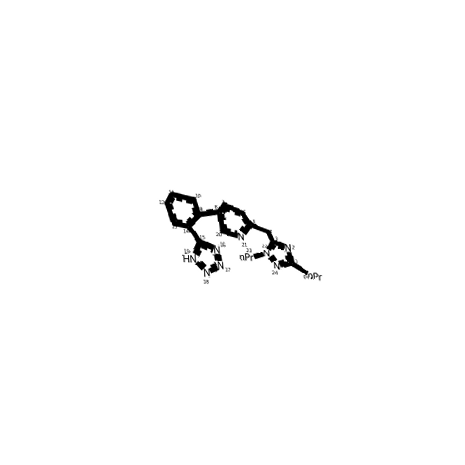 CCCc1nc(Cc2ccc(-c3ccccc3-c3nnn[nH]3)cn2)n(CCC)n1